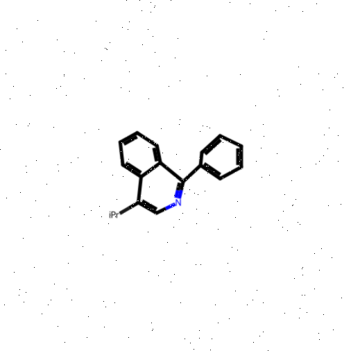 CC(C)c1cnc(-c2ccccc2)c2ccccc12